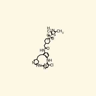 Cc1nc(C)c(S(=O)(=O)N2CCC(CC(=O)Nc3ccc4cc3CCC3C=NC=C(C3)Nc3ncc(Cl)c(n3)N4)CC2)s1